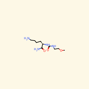 COCCNC(=O)N[C@H](CCCCN)C(N)=O